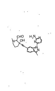 Cc1nn(-c2ccnc(N)n2)c2cc(C#CC3(O)CCCN(C)C3C=O)ccc12